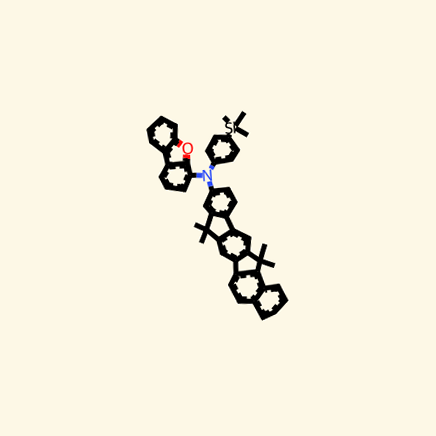 CC1(C)c2cc(N(c3ccc([Si](C)(C)C)cc3)c3cccc4c3oc3ccccc34)ccc2-c2cc3c(cc21)-c1ccc2ccccc2c1C3(C)C